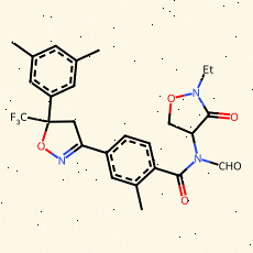 CCN1OCC(N(C=O)C(=O)c2ccc(C3=NOC(c4cc(C)cc(C)c4)(C(F)(F)F)C3)cc2C)C1=O